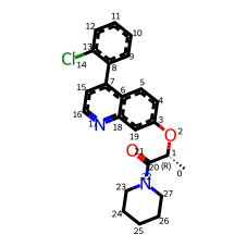 C[C@@H](Oc1ccc2c(-c3ccccc3Cl)ccnc2c1)C(=O)N1CCCCC1